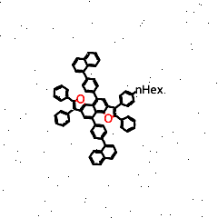 CCCCCCc1ccc(-c2c(-c3ccccc3)oc3c2cc(-c2ccc(-c4cccc5ccccc45)cc2)c2c4oc(-c5ccccc5)c(-c5ccccc5)c4cc(-c4ccc(-c5cccc6ccccc56)cc4)c32)cc1